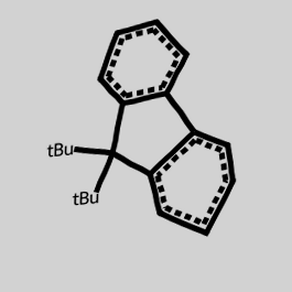 CC(C)(C)C1(C(C)(C)C)c2ccccc2-c2ccccc21